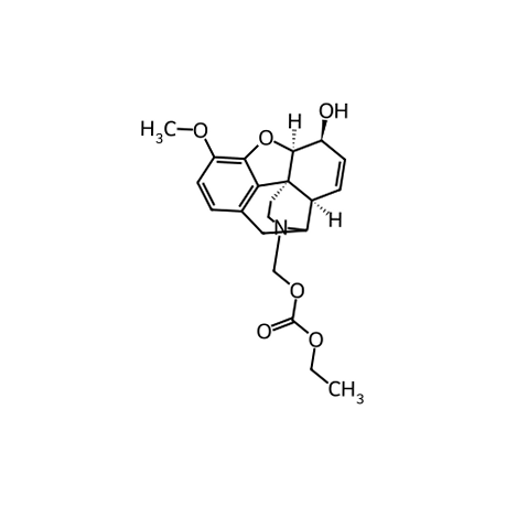 CCOC(=O)OCN1CC[C@]23c4c5ccc(OC)c4O[C@H]2[C@@H](O)C=C[C@H]3C1C5